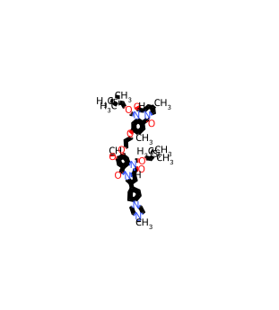 COc1cc2c(cc1OCCCOc1cc3c(cc1C)C(=O)N1C=C(C)C[C@H]1C(=O)N3COCC[Si](C)(C)C)N(COCC[Si](C)(C)C)C(=O)[C@@H]1CC(c3ccc(N4CCN(C)CC4)cc3)=CN1C2=O